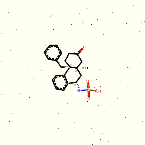 O=C1CC[C@@]2(Cc3ccccc3)c3ccccc3[C@@H](NS(=O)(=O)O)C[C@@H]2C1